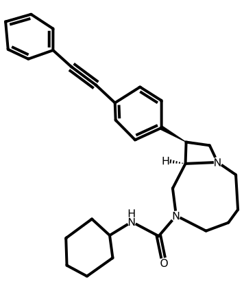 O=C(NC1CCCCC1)N1CCCCN2C[C@H](c3ccc(C#Cc4ccccc4)cc3)[C@@H]2C1